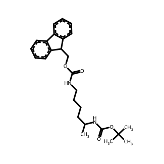 CC(CCCCNC(=O)OCC1c2ccccc2-c2ccccc21)NC(=O)OC(C)(C)C